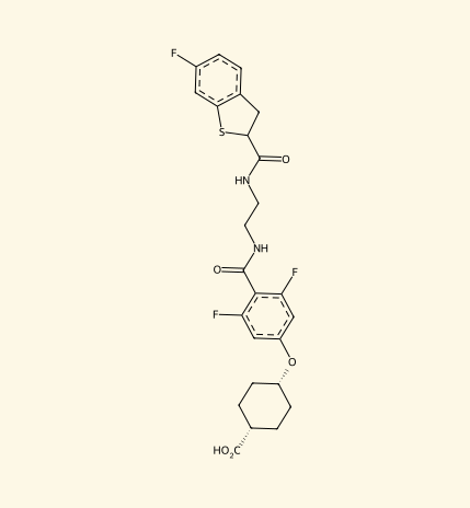 O=C(NCCNC(=O)C1Cc2ccc(F)cc2S1)c1c(F)cc(O[C@H]2CC[C@@H](C(=O)O)CC2)cc1F